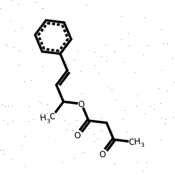 CC(=O)CC(=O)OC(C)/C=C/c1ccccc1